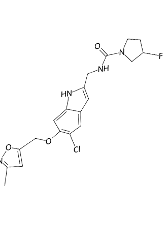 Cc1cc(COc2cc3[nH]c(CNC(=O)N4CCC(F)C4)cc3cc2Cl)on1